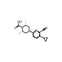 C[C@@H]1CN(c2ccc(C3CC3)c(C#N)n2)C[C@H](C)N1C(=O)O